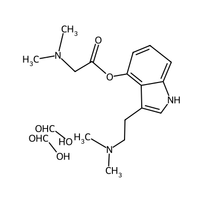 CN(C)CCc1c[nH]c2cccc(OC(=O)CN(C)C)c12.O=CO.O=CO